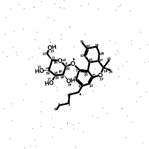 CCCCCc1cc(O[C@@H]2O[C@H](CO)[C@@H](O)[C@H](O)[C@H]2O)c2c(c1)OC(C)(C)C1CCC(C)=CC21